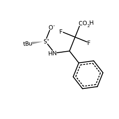 CC(C)(C)[S@+]([O-])NC(c1ccccc1)C(F)(F)C(=O)O